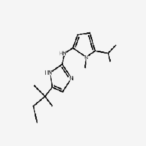 CCC(C)(C)c1cnc(Nc2ccc(C(C)C)n2C)[nH]1